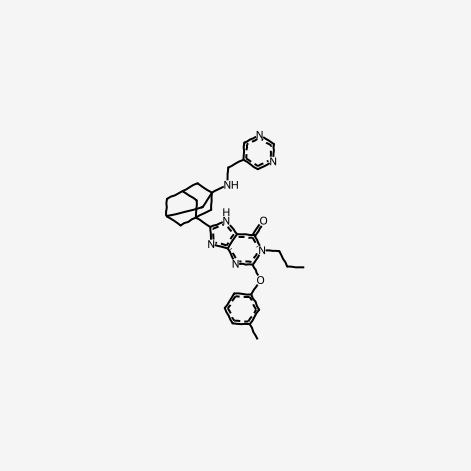 CCCn1c(Oc2cccc(C)c2)nc2nc(C34CC5CC(CC(NCc6cncnc6)(C5)C3)C4)[nH]c2c1=O